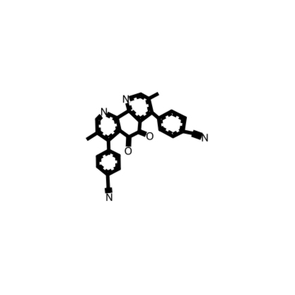 Cc1cnc2c(c1-c1ccc(C#N)cc1)C(=O)C(=O)c1c-2ncc(C)c1-c1ccc(C#N)cc1